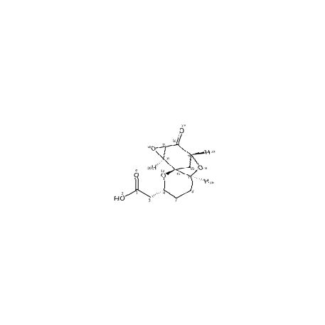 O=C(O)C[C@H]1CC[C@@H]2O[C@@H]3C[C@@]2(O1)[C@H]1OC1C3=O